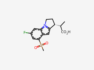 CC(C(=O)O)[C@H]1CCn2c1cc1c(S(C)(=O)=O)cc(F)cc12